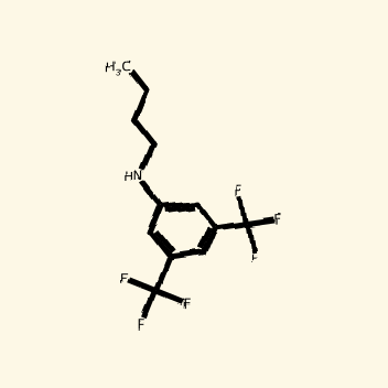 CCCCNc1cc(C(F)(F)F)cc(C(F)(F)F)c1